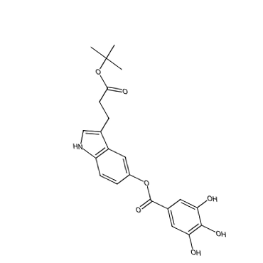 CC(C)(C)OC(=O)CCc1c[nH]c2ccc(OC(=O)c3cc(O)c(O)c(O)c3)cc12